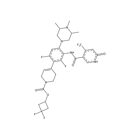 CC1CN(c2cc(F)c(C3=CCN(C(=O)OC4CC(F)(F)C4)CC3)c(F)c2NC(=O)c2c[nH]c(=O)cc2C(F)(F)F)CC(C)N1C